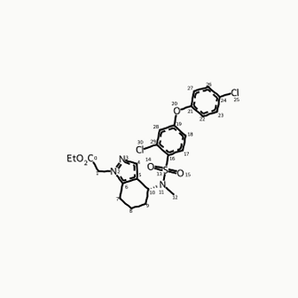 CCOC(=O)Cn1ncc2c1CCC[C@H]2N(C)S(=O)(=O)c1ccc(Oc2ccc(Cl)cc2)cc1Cl